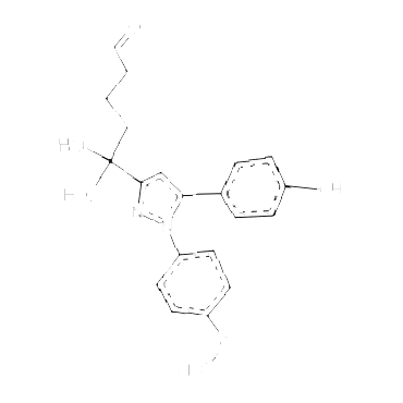 COc1ccc(-n2nc(C(C)(O)CCCC=O)cc2-c2ccc(C)cc2)cc1